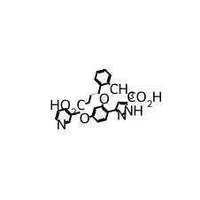 Cc1ccccc1[C@@H](CCC(=O)O)Oc1cc(OCc2cccnc2)ccc1-c1cc(C(=O)O)[nH]n1